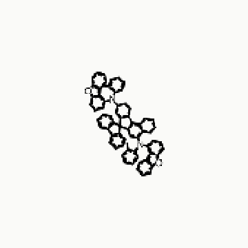 Cc1ccccc1N(c1ccc2c(c1)C1(c3ccccc3-c3ccccc31)c1cc(N(c3ccccc3C)c3cccc4oc5ccccc5c34)c3ccccc3c1-2)c1cccc2oc3ccccc3c12